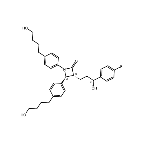 O=C1[C@H](CC[C@H](O)c2ccc(F)cc2)[C@@H](c2ccc(CCCCO)cc2)N1c1ccc(CCCCO)cc1